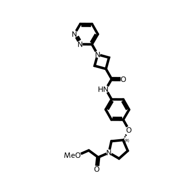 COCC(=O)N1CC[C@@H](Oc2ccc(NC(=O)C3CN(c4cccnn4)C3)cc2)C1